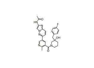 CC(=O)Nc1cn2nc(-c3cnc(C)c(C(=O)N4CCCC(O)(Cc5ccc(F)cc5)C4)c3)ccc2n1